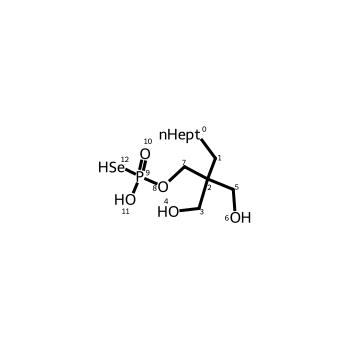 CCCCCCCCC(CO)(CO)COP(=O)(O)[SeH]